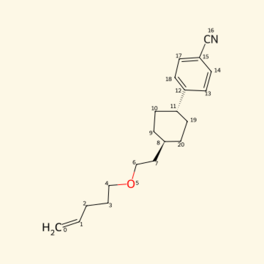 C=CCCCOCC[C@H]1CC[C@H](c2ccc(C#N)cc2)CC1